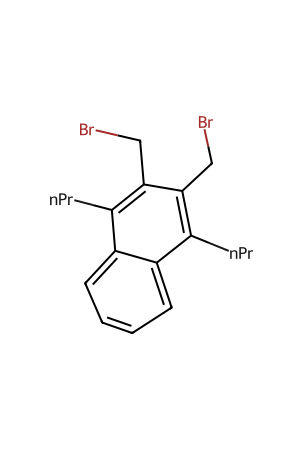 CCCc1c(CBr)c(CBr)c(CCC)c2ccccc12